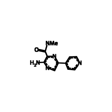 CNC(=O)c1nc(-c2ccncc2)cnc1N